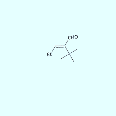 CCC=C(C=O)C(C)(C)C